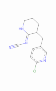 N#CN=C1NCCCC1Cc1ccc(Cl)nc1